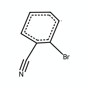 N#Cc1ccc[c]c1Br